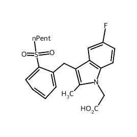 CCCCCS(=O)(=O)c1ccccc1Cc1c(C)n(CC(=O)O)c2ccc(F)cc12